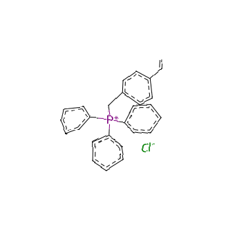 C=Cc1ccc(C[P+](c2ccccc2)(c2ccccc2)c2ccccc2)cc1.[Cl-]